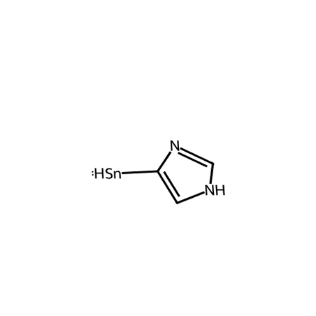 [SnH][c]1c[nH]cn1